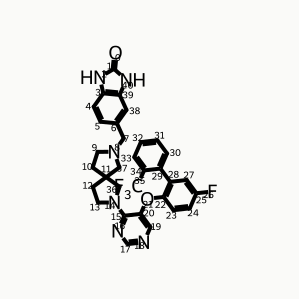 O=c1[nH]c2ccc(CN3CCC4(CCN(c5ncncc5Oc5ccc(F)cc5-c5ccccc5C(F)(F)F)C4)C3)cc2[nH]1